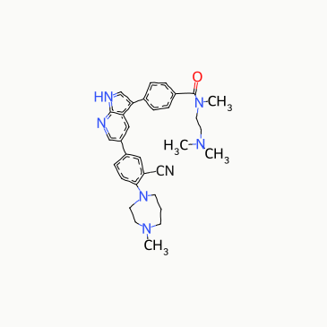 CN(C)CCN(C)C(=O)c1ccc(-c2c[nH]c3ncc(-c4ccc(N5CCCN(C)CC5)c(C#N)c4)cc23)cc1